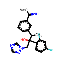 COC(=N)c1[c]ccc(C(C)C(O)(Cn2cncn2)c2ccc(F)cc2F)c1